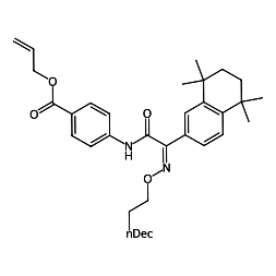 C=CCOC(=O)c1ccc(NC(=O)/C(=N\OCCCCCCCCCCCC)c2ccc3c(c2)C(C)(C)CCC3(C)C)cc1